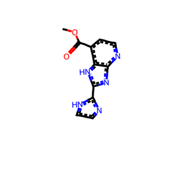 COC(=O)c1ccnc2nc(-c3ncc[nH]3)[nH]c12